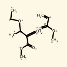 C=C(C(=O)OC)C(C)OCC.C=CC(=O)OC